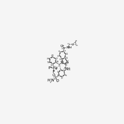 NS(=O)(=O)c1ccc(Nc2nc3cc(C(=O)NCC4CC4)ccc3n2Cc2ccccc2C(F)(F)F)cc1